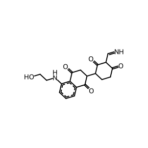 N=CC1C(=O)CCC(C2CC(=O)c3c(NCCO)cccc3C2=O)C1=O